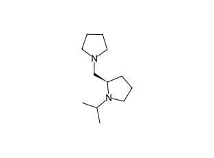 CC(C)N1CCC[C@@H]1CN1CCCC1